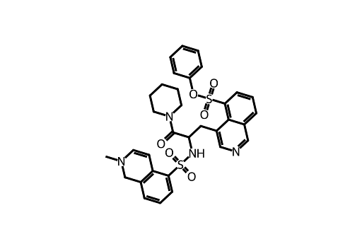 CN1C=Cc2c(cccc2S(=O)(=O)NC(Cc2cncc3cccc(S(=O)(=O)Oc4ccccc4)c23)C(=O)N2CCCCC2)C1